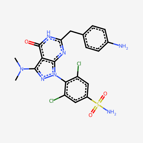 CN(C)c1nn(-c2c(Cl)cc(S(N)(=O)=O)cc2Cl)c2nc(Cc3ccc(N)cc3)[nH]c(=O)c12